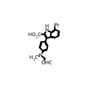 CC(C)c1cccc2c(-c3ccc(N(C)CC=O)cc3)c(C(=O)O)[nH]c12